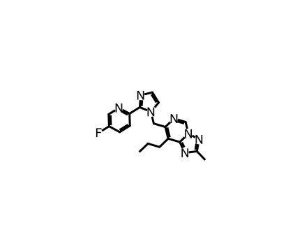 CCCc1c(Cn2ccnc2-c2ccc(F)cn2)ncn2nc(C)nc12